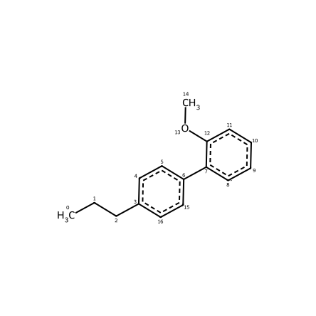 CCCc1ccc(-c2[c]cccc2OC)cc1